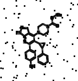 CC(C)(C)OC(=O)N1CCN(c2c(C3CC3c3ccccc3)c(-c3ccc(O)cc3)nc3[nH]ncc23)CC1